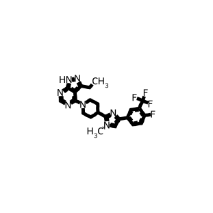 CCc1n[nH]c2ncnc(N3CCC(c4nc(-c5ccc(F)c(C(F)(F)F)c5)cn4C)CC3)c12